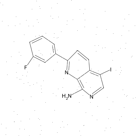 Nc1ncc(I)c2ccc(-c3cccc(F)c3)nc12